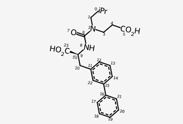 CC(C)CN(CCC(=O)O)C(=O)N[C@@H](Cc1cccc(-c2ccccc2)c1)C(=O)O